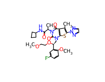 COCCO[C@@H](Cn1c(=O)n(C(C)C(=O)NC2CCC2)c(=O)c2c(C)c(-n3nccn3)sc21)c1cc(F)ccc1OC